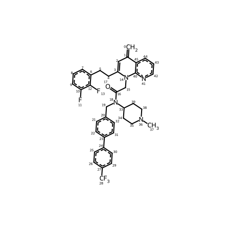 C=C1C=C(CCc2cccc(F)c2F)N(CC(=O)N(Cc2ccc(-c3ccc(C(F)(F)F)cc3)cc2)C2CCN(C)CC2)c2ncccc21